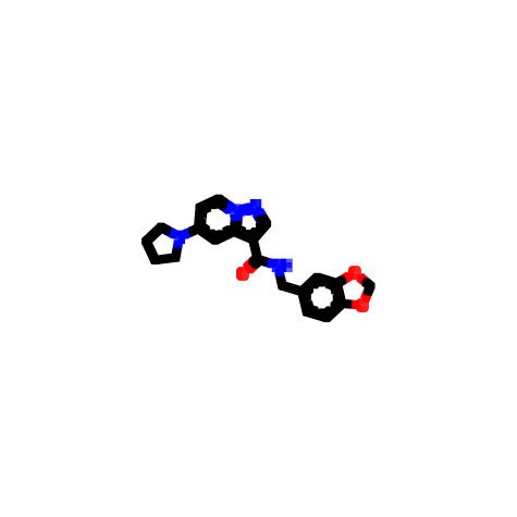 O=C(NCc1ccc2c(c1)OCO2)c1cnn2ccc(N3CCCC3)cc12